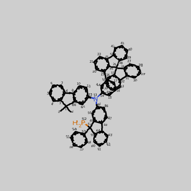 CC1(C)c2ccccc2-c2ccc(N(c3cccc(-c4cccc5c4C4(c6ccccc6-c6ccccc64)c4ccccc4-5)c3)c3ccc4c(c3)C(P)(c3ccccc3)c3ccccc3-4)cc21